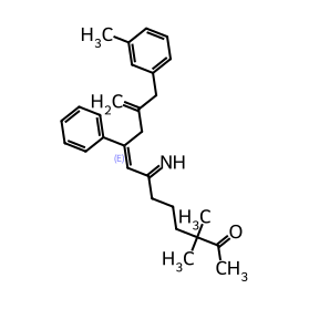 C=C(C/C(=C\C(=N)CCCC(C)(C)C(C)=O)c1ccccc1)Cc1cccc(C)c1